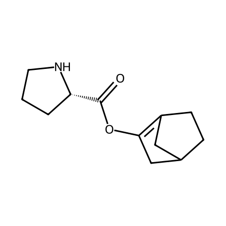 O=C(OC1=C2CCC(C2)C1)[C@@H]1CCCN1